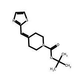 CC(C)(C)OC(=O)N1CCC(=Cc2nccs2)CC1